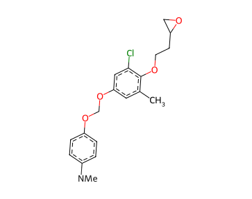 CNc1ccc(OCOc2cc(C)c(OCCC3CO3)c(Cl)c2)cc1